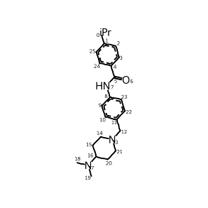 CC(C)c1ccc(C(=O)Nc2ccc(CN3CCC(N(C)C)CC3)cc2)cc1